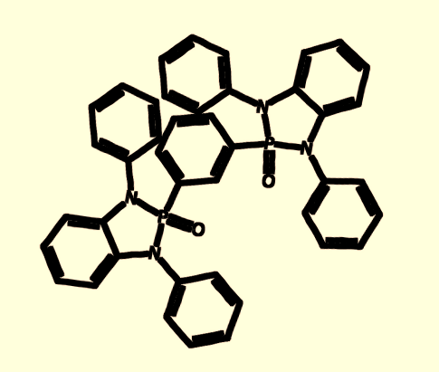 O=P1(c2cccc(P3(=O)N(c4ccccc4)c4ccccc4N3c3ccccc3)c2)N(c2ccccc2)c2ccccc2N1c1ccccc1